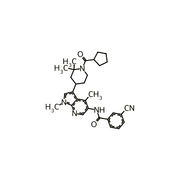 Cc1c(NC(=O)c2cccc(C#N)c2)cnc2c1c(C1CCN(C(=O)C3CCCC3)C(C)(C)C1)cn2C